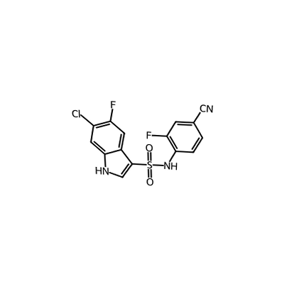 N#Cc1ccc(NS(=O)(=O)c2c[nH]c3cc(Cl)c(F)cc23)c(F)c1